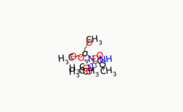 COCCCc1cc(CN(C(=O)C2CN(C(=O)OC(C)(C)C)CCC2c2cc(=O)[nH]c3ccc(C)cc23)C2CC2)cc(OCCOC)c1